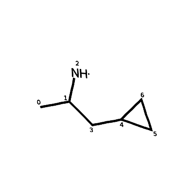 CC([NH])CC1CC1